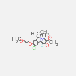 COCCCOc1cc2c(cc1Cl)-c1c(F)c(=O)c(C(C)=O)cn1[C@H](C(C)(C)C)C2